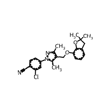 Cc1nn(-c2ccc(C#N)c(Cl)c2)c(C)c1COc1cccc2c1OC(C)(C)C2